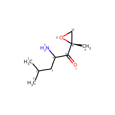 CC(C)CC(N)C(=O)[C@@]1(C)CO1